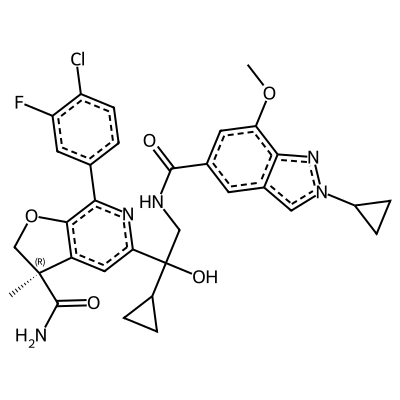 COc1cc(C(=O)NCC(O)(c2cc3c(c(-c4ccc(Cl)c(F)c4)n2)OC[C@]3(C)C(N)=O)C2CC2)cc2cn(C3CC3)nc12